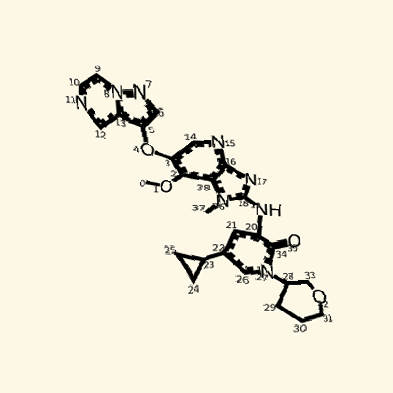 COc1c(Oc2cnn3ccncc23)cnc2nc(Nc3cc(C4CC4)cn(C4CCCOC4)c3=O)n(C)c12